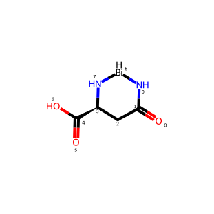 O=C1C[C@@H](C(=O)O)[NH][BiH][NH]1